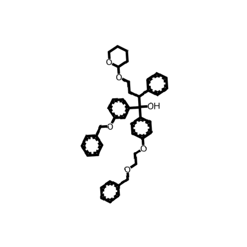 OC(c1ccc(OCCOCc2ccccc2)cc1)(c1cccc(OCc2ccccc2)c1)C(CCOC1CCCCO1)c1ccccc1